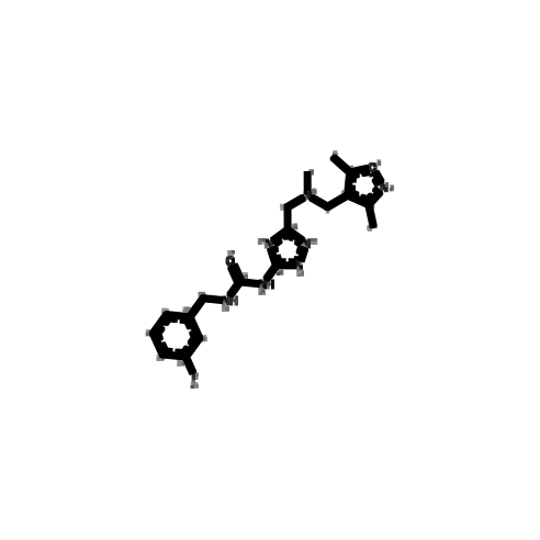 Cc1noc(C)c1CN(C)Cc1nsc(NC(=O)NCc2cccc(F)c2)n1